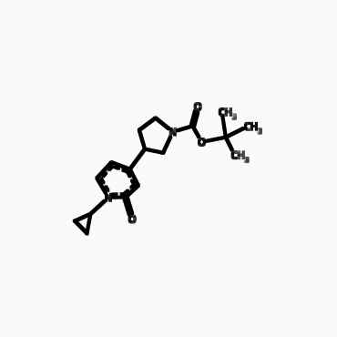 CC(C)(C)OC(=O)N1CCC(c2ccn(C3CC3)c(=O)c2)C1